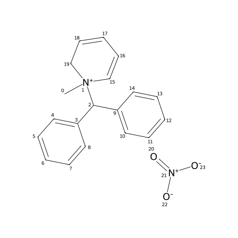 C[N+]1(C(c2ccccc2)c2ccccc2)C=CC=CC1.O=[N+]([O-])[O-]